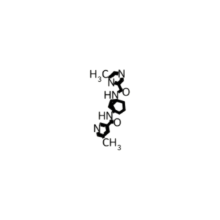 Cc1cncc(C(=O)NC23CCCC(NC(=O)c4cncc(C)n4)(CC2)C3)c1